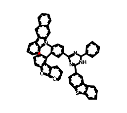 c1ccc(C2N=C(c3ccc(-n4c5ccccc5c5cc6ccccc6cc54)c(-c4cccc5oc6ccccc6c45)c3)N=C(c3ccc4sc5ccccc5c4c3)N2)cc1